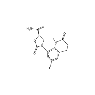 CN1C(=O)CCc2cc(F)cc(N3C[C@H](C(N)=O)OC3=O)c21